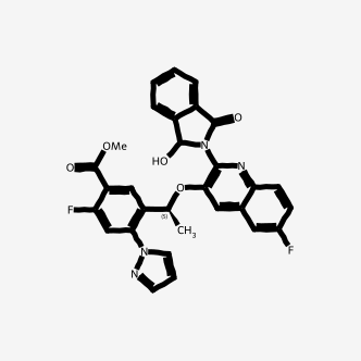 COC(=O)c1cc([C@H](C)Oc2cc3cc(F)ccc3nc2N2C(=O)c3ccccc3C2O)c(-n2cccn2)cc1F